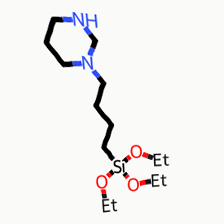 CCO[Si](CCCCN1CCCNC1)(OCC)OCC